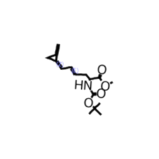 C=C1C/C1=C/C=C/CC(NC(=O)OC(C)(C)C)C(=O)OC